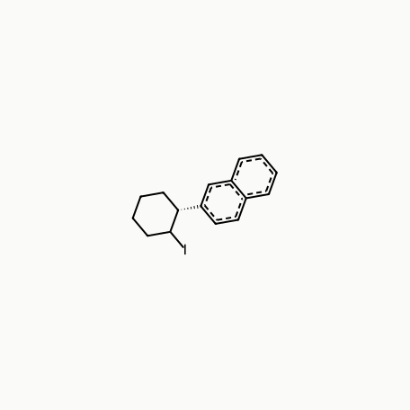 IC1CCCC[C@@H]1c1ccc2ccccc2c1